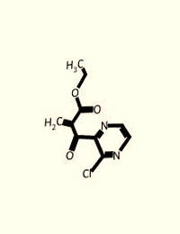 C=C(C(=O)OCC)C(=O)c1nccnc1Cl